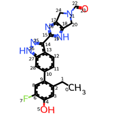 CCc1cc(O)c(F)cc1-c1ccc2c(-c3nc4c([nH]3)CN(C=O)C4)n[nH]c2c1